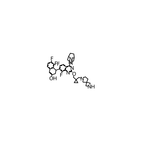 OC1=Cc2ccc(F)c(F)c2C(c2c(F)cc3c(N4CC5CCC(C4)N5)nc(OCC4(CN5CCC6(CNC6)C5)CC4)nc3c2F)C1